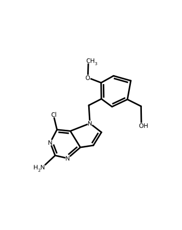 COc1ccc(CO)cc1Cn1ccc2nc(N)nc(Cl)c21